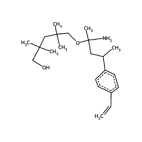 C=Cc1ccc(C(C)CC(C)(N)OCC(C)(C)CC(C)(C)CO)cc1